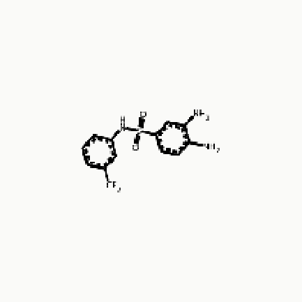 Nc1ccc(S(=O)(=O)Nc2cccc(C(F)(F)F)c2)cc1N